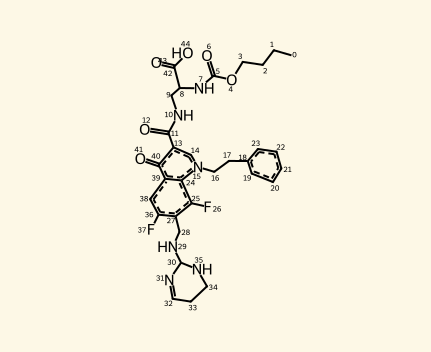 CCCCOC(=O)NC(CNC(=O)c1cn(CCc2ccccc2)c2c(F)c(CNC3N=CCCN3)c(F)cc2c1=O)C(=O)O